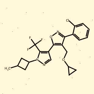 CC1CC(n2ncc(-c3onc(-c4ccccc4Cl)c3COC3CC3)c2C(F)(F)F)C1